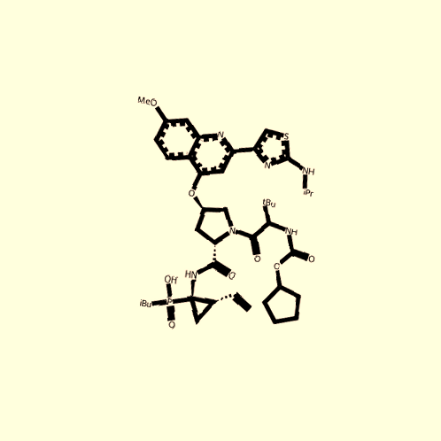 C=C[C@@H]1C[C@]1(NC(=O)[C@@H]1C[C@@H](Oc2cc(-c3csc(NC(C)C)n3)nc3cc(OC)ccc23)CN1C(=O)C(NC(=O)OC1CCCC1)C(C)(C)C)P(=O)(O)C(C)CC